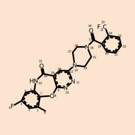 Cc1cc(F)cc2c1Oc1nnc(N3CCN(C(=O)c4ccccc4C(F)(F)F)CC3)cc1C(=O)N2